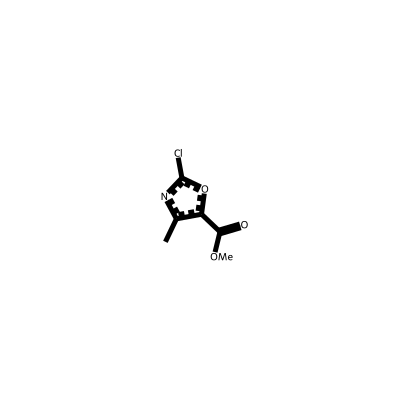 COC(=O)c1oc(Cl)nc1C